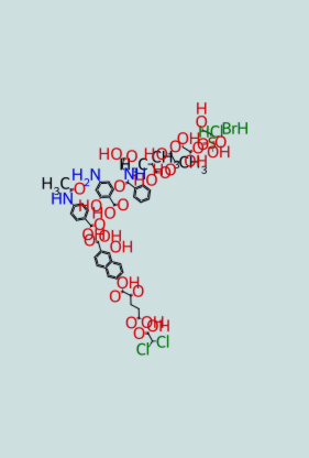 Br.CC(=O)Nc1ccc(C(=O)O)cc1.CC(C)C(=O)O.CC(O)C(=O)O.Cl.Nc1ccc(C(=O)O)c(O)c1.O=C(O)C(Cl)Cl.O=C(O)CCC(=O)C(=O)O.O=C(O)CNC(=O)c1ccccc1.O=C(O)CO.O=C(O)c1ccc2ccccc2c1O.O=S(=O)(O)CCO